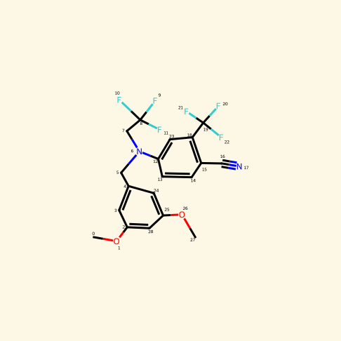 COc1cc(CN(CC(F)(F)F)c2ccc(C#N)c(C(F)(F)F)c2)cc(OC)c1